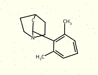 Cc1cccc(C)c1C1CC2CCN1CC2